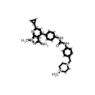 CN1CCN(Cc2ccc(NC(=O)Nc3ccc(-c4cc(C5CC5)nc5c4c(N)nn5C)cc3)cc2)CC1